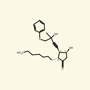 CC(O)(C#C[C@H]1[C@@H](O)CC(=O)[C@@H]1CCCCCCC(=O)O)COc1ccccc1